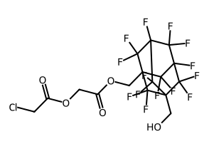 O=C(CCl)OCC(=O)OCC12C(F)(F)C3(F)C(F)(F)C(F)(C(F)(F)C(CO)(C3(F)F)C1(F)F)C2(F)F